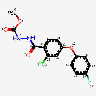 CC(C)(C)OC(=O)NNC(=O)c1ccc(Oc2ccc(F)cc2)cc1Cl